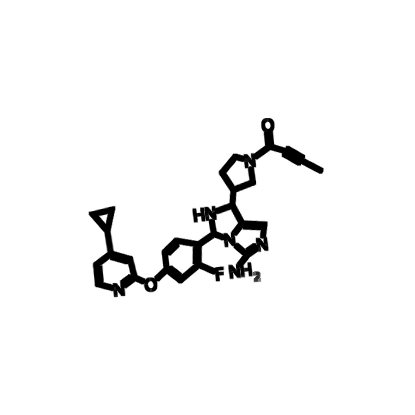 CC#CC(=O)N1CCC(C2NC(c3ccc(Oc4cc(C5CC5)ccn4)cc3F)n3c2cnc3N)C1